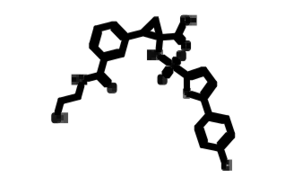 O=C(NCCO)c1cccc(C2CC2(NS(=O)(=O)c2ccc(-c3ccc(Cl)cc3)s2)C(=O)O)c1